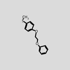 CSc1ccc(OCCOc2ccccc2)cc1